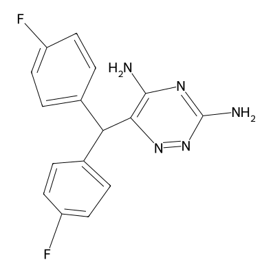 Nc1nnc(C(c2ccc(F)cc2)c2ccc(F)cc2)c(N)n1